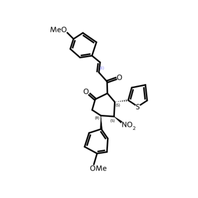 COc1ccc(/C=C/C(=O)C2C(=O)C[C@H](c3ccc(OC)cc3)[C@H]([N+](=O)[O-])[C@H]2c2cccs2)cc1